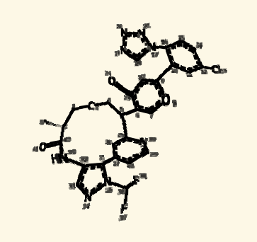 C[C@@H]1CCCC(c2coc(-c3cc(Cl)ccc3-n3cnnn3)cc2=O)c2cc(ccn2)-c2c(cnn2C(F)F)NC1=O